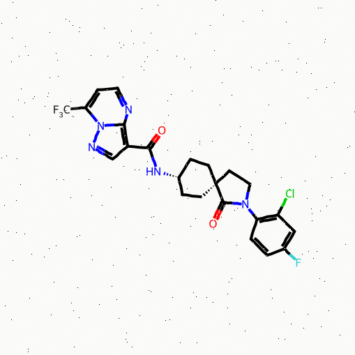 O=C(N[C@H]1CC[C@@]2(CCN(c3ccc(F)cc3Cl)C2=O)CC1)c1cnn2c(C(F)(F)F)ccnc12